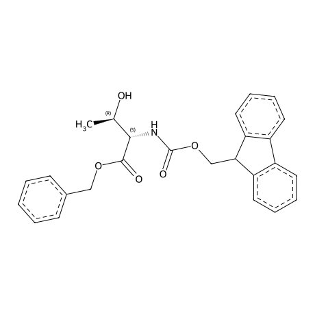 C[C@@H](O)[C@H](NC(=O)OCC1c2ccccc2-c2ccccc21)C(=O)OCc1ccccc1